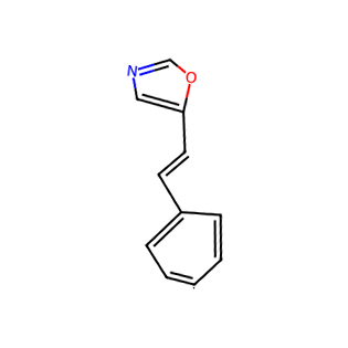 [c]1ccc(/C=C/c2cnco2)cc1